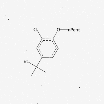 CCCCCOc1ccc(C(C)(C)CC)cc1Cl